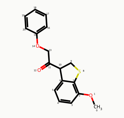 COc1cccc2c1SCC2C(=O)COc1ccccc1